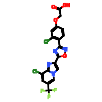 O=C(O)COc1ccc(-c2noc(-c3cn4cc(C(F)(F)F)cc(Cl)c4n3)n2)c(Cl)c1